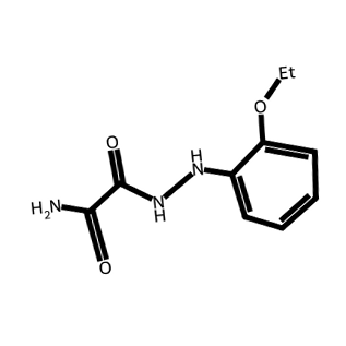 CCOc1ccccc1NNC(=O)C(N)=O